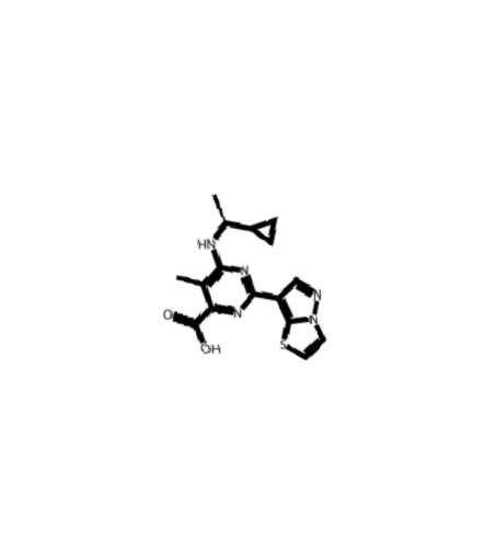 Cc1c(N[C@@H](C)C2CC2)nc(-c2cnn3ccsc23)nc1C(=O)O